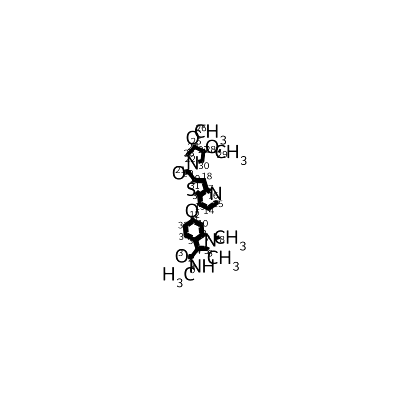 CNC(=O)c1c(C)n(C)c2cc(Oc3ccnc4cc(C(=O)N5CC(OC)C(OC)C5)sc34)ccc12